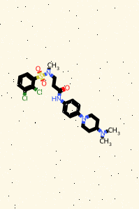 CN(C)C1CCN(c2ccc(NC(=O)CCN(C)S(=O)(=O)c3cccc(Cl)c3Cl)cc2)CC1